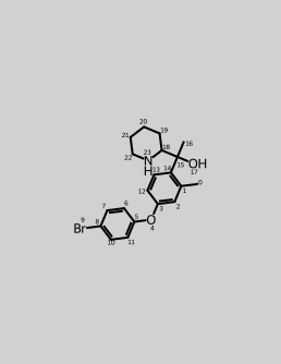 Cc1cc(Oc2ccc(Br)cc2)ccc1C(C)(O)C1CCCCN1